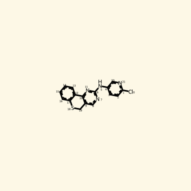 Clc1ccc(Nc2ncc3c(n2)-c2ccccc2SC3)cn1